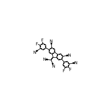 N#CC(C#N)=C1c2cc(-c3cc(F)c(F)c(C#N)c3)c(C#N)cc2-c2cc(C#N)c(-c3cc(F)c(F)c(C#N)c3)cc21